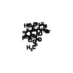 CCOC(=O)Nc1oc2c(Br)nccc2c1N(C(=O)O)c1ccc(F)c(Cl)c1